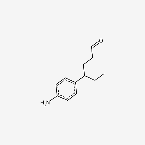 CCC(CCC=O)c1ccc(N)cc1